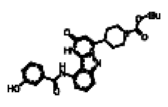 CC(C)(C)OC(=O)N1CCC(c2cc(=O)[nH]c3c4c(NC(=O)c5cccc(O)c5)cccc4nn23)CC1